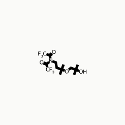 CC(C)(O)COC(C)(C)CCN(C(=O)C(F)(F)F)C(=O)C(F)(F)F